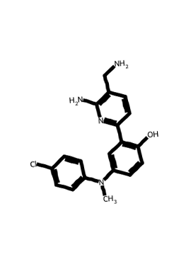 CN(c1ccc(Cl)cc1)c1ccc(O)c(-c2ccc(CN)c(N)n2)c1